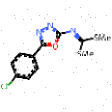 CSC(=Nc1nnc(-c2ccc(Cl)cc2)o1)SC